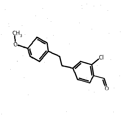 COc1ccc(CCc2ccc(C=O)c(Cl)c2)cc1